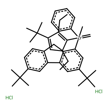 Cl.Cl.[CH2]=[Zr]([CH3])([C]1=C(CC)C(C(C)(C)C)=CC1CC)([c]1ccccc1)[c]1cc(C(C)(C)C)cc2c1Cc1ccc(C(C)(C)C)cc1-2